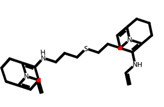 C=CNC1=C2CCCC(=CC1)N2CCCSCCCNC1=C2CCCC(=CC1)N2C=C